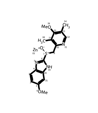 COc1ccc2nc([S@+]([O-])Cc3ncc(C)c(OC)c3C)[nH]c2c1.[Zn]